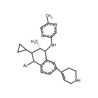 CC(=O)N1c2ccc(C3=CCNCC3)cc2C(Nc2cnc(C)cn2)[C@@H](C)C1C1CC1